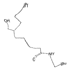 CCC(C)CNC(=O)CCCCC(CO)CCC(C)C